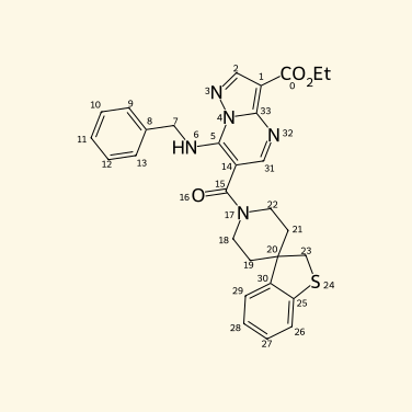 CCOC(=O)c1cnn2c(NCc3ccccc3)c(C(=O)N3CCC4(CC3)CSc3ccccc34)cnc12